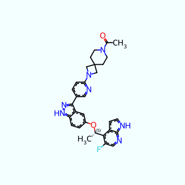 CC(=O)N1CCC2(CC1)CN(c1ccc(-c3n[nH]c4ccc(O[C@@H](C)c5c(F)cnc6[nH]ccc56)cc34)cn1)C2